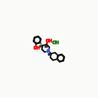 Cl.Oc1ccccc1[C@H]1CCN([C@@H]2CCc3ccccc3C2)C[C@@H]1O